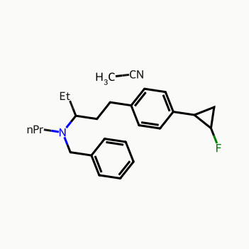 CC#N.CCCN(Cc1ccccc1)C(CC)CCc1ccc(C2CC2F)cc1